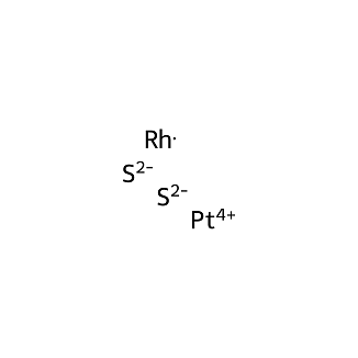 [Pt+4].[Rh].[S-2].[S-2]